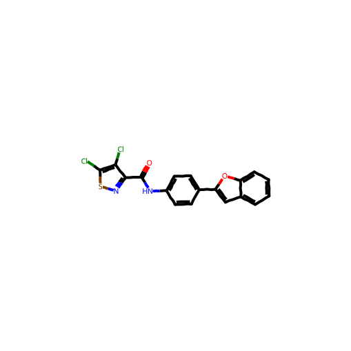 O=C(Nc1ccc(-c2cc3ccccc3o2)cc1)c1nsc(Cl)c1Cl